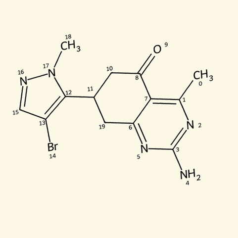 Cc1nc(N)nc2c1C(=O)CC(c1c(Br)cnn1C)C2